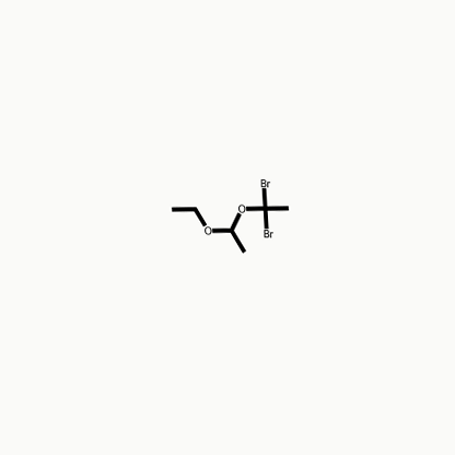 CCOC(C)OC(C)(Br)Br